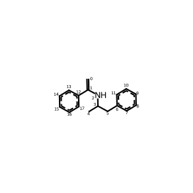 C=C(NC(C)Cc1ccccc1)c1ccccc1